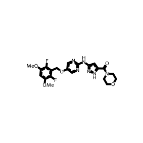 COc1cc(OC)c(F)c(COc2cnc(Nc3cc(C(=O)N4CCOCC4)[nH]n3)nc2)c1F